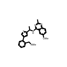 CNCc1ccccc1-c1csc(C(C)Nc2nc(C)nc3ccc(OC)cc23)c1